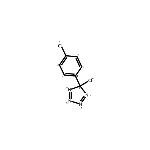 Clc1ccc(C2(Cl)N=NN=N2)cc1